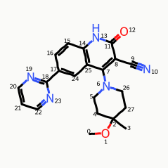 COC1(C)CCN(c2c(C#N)c(=O)[nH]c3ccc(-c4ncccn4)cc23)CC1